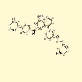 Nc1nc(Nc2ccc(C3CNCCO3)cc2)nc2c(-c3cccc(OCCC4CNCCO4)c3)cccc12